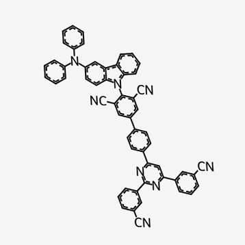 N#Cc1cccc(-c2cc(-c3ccc(-c4cc(C#N)c(-n5c6ccccc6c6cc(N(c7ccccc7)c7ccccc7)ccc65)c(C#N)c4)cc3)nc(-c3cccc(C#N)c3)n2)c1